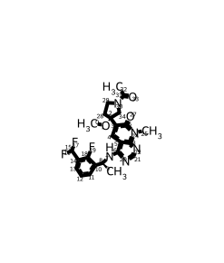 CO[C@]1(c2cc3c(N[C@@H](C)c4cccc(C(F)F)c4F)ncnc3n(C)c2=O)CCN(C(C)=O)C1